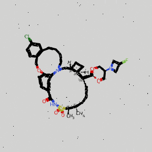 C[C@@H]1[C@@H](C)CCC[C@H]([C@H]2OC[C@H](N3CC(F)C3)CO2)[C@@H]2CC[C@H]2CN2CCCCc3cc(Cl)ccc3COc3ccc(cc32)C(=O)NS1(=O)=O